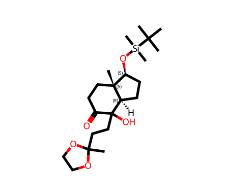 CC1(CCC2(O)C(=O)CC[C@]3(C)[C@@H](O[Si](C)(C)C(C)(C)C)CC[C@@H]23)OCCO1